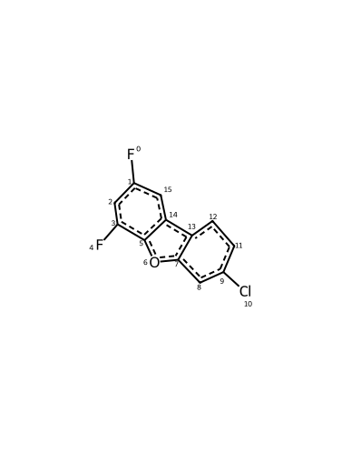 Fc1cc(F)c2oc3cc(Cl)ccc3c2c1